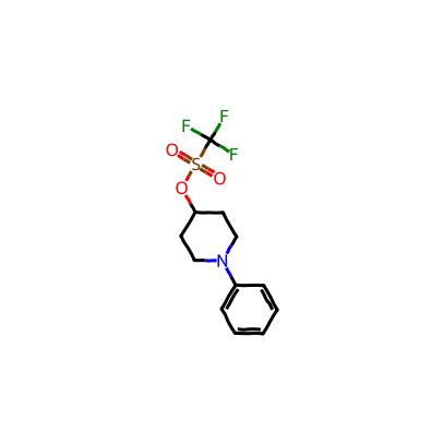 O=S(=O)(OC1CCN(c2ccccc2)CC1)C(F)(F)F